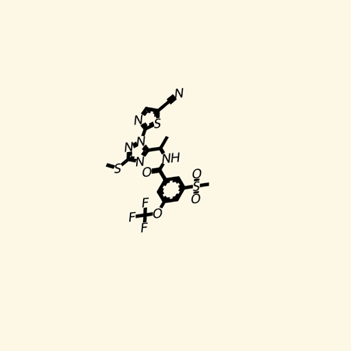 CSc1nc(C(C)NC(=O)c2cc(OC(F)(F)F)cc(S(C)(=O)=O)c2)n(-c2ncc(C#N)s2)n1